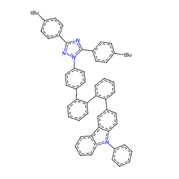 CC(C)(C)c1ccc(-c2nc(-c3ccc(C(C)(C)C)cc3)n(-c3ccc(-c4ccccc4-c4ccccc4-c4ccc5c(c4)c4ccccc4n5-c4ccccc4)cc3)n2)cc1